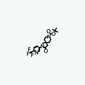 CC(C)(C)OC(=O)N1CCC2(CC1)CC(=O)N(c1ccc(C(F)(F)F)nc1)C2